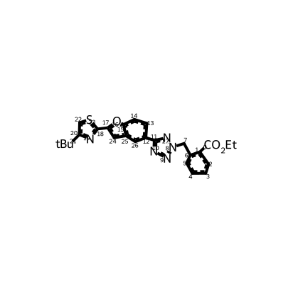 CCOC(=O)c1ccccc1Cn1nnc(-c2ccc3oc(-c4nc(C(C)(C)C)cs4)cc3c2)n1